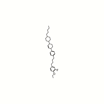 CCCCCC1CCC(C2C=CC(c3ccc(CCCCc4ccc(OCC)c(F)c4)cc3)CC2)CC1